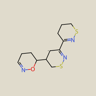 [CH]1C(C2=NSCCC2)=NSCC1C1CCC=NO1